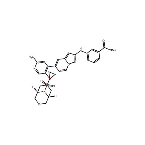 CNC(=O)c1ccnc(Nc2cc3cc(-c4cc(C)ncc4O[C@H]4C[C@H]5COC[C@@H](C4)N5S(=O)(=O)C4CC4)ccn3n2)c1